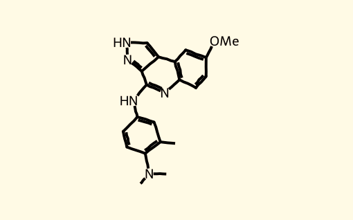 COc1ccc2nc(Nc3ccc(N(C)C)c(C)c3)c3n[nH]cc3c2c1